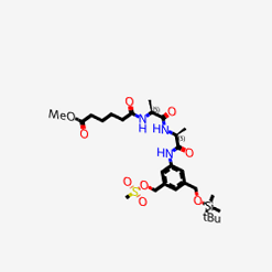 COC(=O)CCCCC(=O)N[C@@H](C)C(=O)N[C@@H](C)C(=O)Nc1cc(CO[Si](C)(C)C(C)(C)C)cc(COS(C)(=O)=O)c1